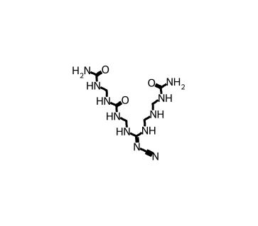 N#C/N=C(\NCNCNC(N)=O)NCNC(=O)NCNC(N)=O